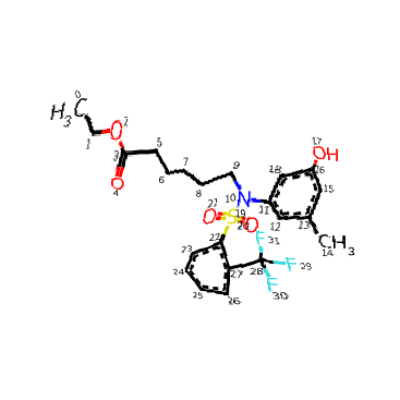 CCOC(=O)CCCCCN(c1cc(C)cc(O)c1)S(=O)(=O)c1ccccc1C(F)(F)F